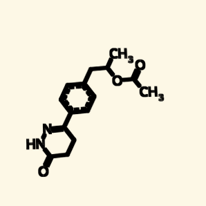 CC(=O)OC(C)Cc1ccc(C2=NNC(=O)CC2)cc1